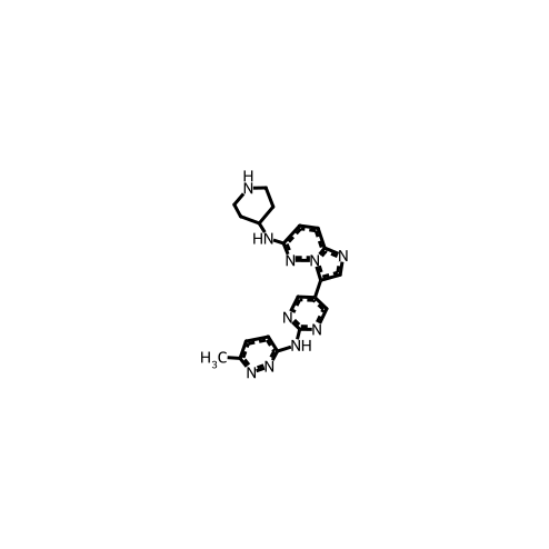 Cc1ccc(Nc2ncc(-c3cnc4ccc(NC5CCNCC5)nn34)cn2)nn1